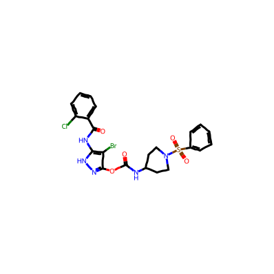 O=C(NC1CCN(S(=O)(=O)c2ccccc2)CC1)Oc1n[nH]c(NC(=O)c2ccccc2Cl)c1Br